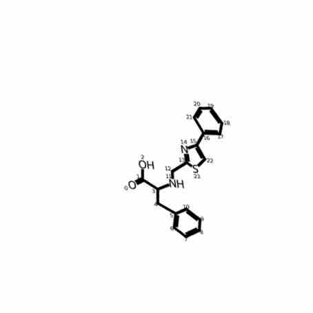 O=C(O)C(Cc1ccccc1)NCc1nc(-c2ccccc2)cs1